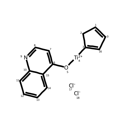 C1=CC[C]([Ti+2][O]c2ccnc3ccccc23)=C1.[Cl-].[Cl-]